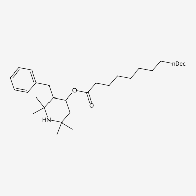 CCCCCCCCCCCCCCCCCC(=O)OC1CC(C)(C)NC(C)(C)C1Cc1ccccc1